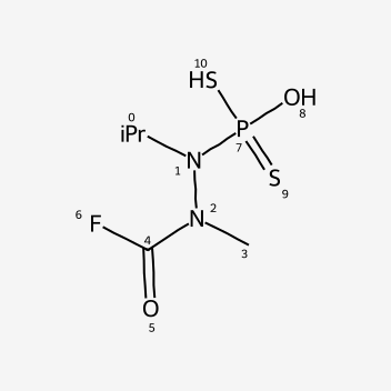 CC(C)N(N(C)C(=O)F)P(O)(=S)S